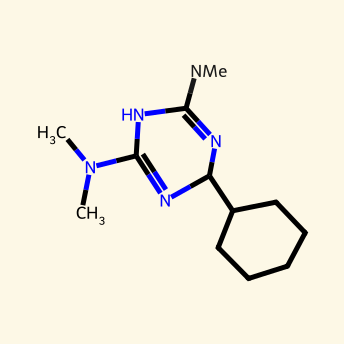 CNC1=NC(C2CCCCC2)N=C(N(C)C)N1